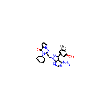 Nc1ncnc2c1c(-c1cc(O)cc(C(F)(F)F)c1)nn2Cc1nn2cccc2c(=O)n1-c1ccccc1